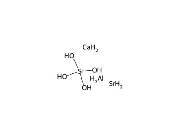 O[Si](O)(O)O.[AlH3].[CaH2].[SrH2]